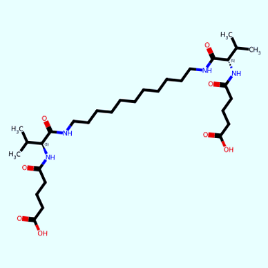 CC(C)[C@H](NC(=O)CCCC(=O)O)C(=O)NCCCCCCCCCCCNC(=O)[C@@H](NC(=O)CCCC(=O)O)C(C)C